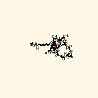 CC[C@H](C)[C@@H]1NC(=O)CNC(=O)[C@H]2Cc3c([nH]c4cc(OCCCCCCNC(=O)OC(C)(C)C)ccc34)[S+]([O-])C[C@H](NC(=O)CNC1=O)C(=O)N[C@@H](CC(N)=O)C(=O)N1C[C@H](O)C[C@H]1C(=O)N[C@@H]([C@@H](C)[C@@H](O)CO)C(=O)N2